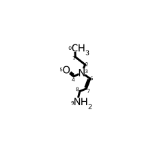 CCCN(C=O)/C=C\CN